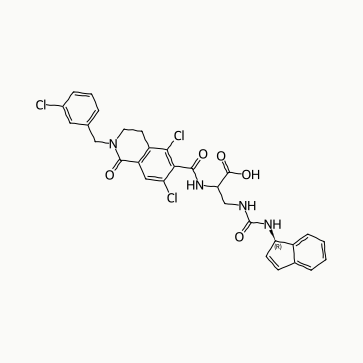 O=C(NCC(NC(=O)c1c(Cl)cc2c(c1Cl)CCN(Cc1cccc(Cl)c1)C2=O)C(=O)O)N[C@@H]1C=Cc2ccccc21